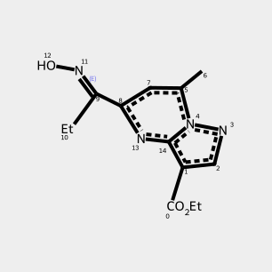 CCOC(=O)c1cnn2c(C)cc(/C(CC)=N/O)nc12